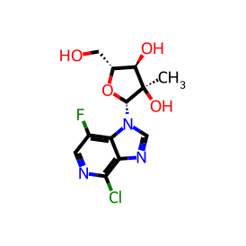 C[C@@]1(O)[C@H](O)[C@@H](CO)O[C@H]1n1cnc2c(Cl)ncc(F)c21